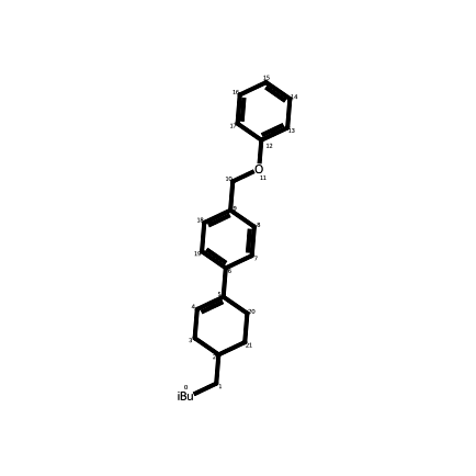 CCC(C)CC1CC=C(c2ccc(COc3ccccc3)cc2)CC1